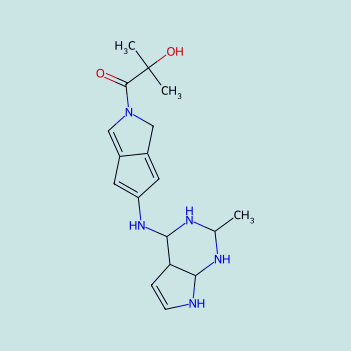 CC1NC2NC=CC2C(NC2=CC3=CN(C(=O)C(C)(C)O)CC3=C2)N1